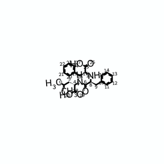 CC(C)C[C@H](NC(=O)[C@H](Cc1ccccc1)N[C@@H](Cc1ccccc1)C(=O)O)C(=O)O